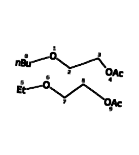 CCCCOCCOC(C)=O.CCOCCOC(C)=O